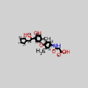 Cc1cc(NC(=O)CC(=O)O)cc(C)c1Oc1ccc(O)c(C(O)CC2CCCC2)c1